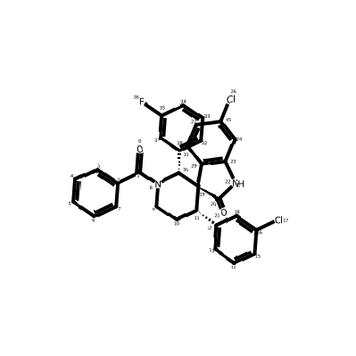 O=C(c1ccccc1)N1CC[C@@H](c2cccc(Cl)c2)[C@]2(C(=O)Nc3cc(Cl)ccc32)[C@H]1c1cccc(F)c1